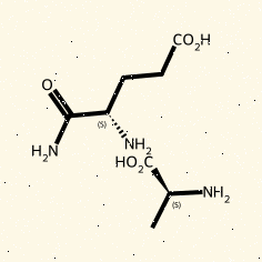 C[C@H](N)C(=O)O.NC(=O)[C@@H](N)CCC(=O)O